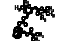 C=C(C)C(=O)OCC12CC3CC(C1)CC(OC(=O)OCC1CC(CC(=O)OC(C)(C)C)OC(C)(C)O1)(C3)C2